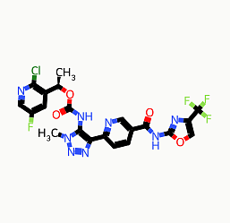 C[C@@H](OC(=O)Nc1c(-c2ccc(C(=O)Nc3nc(C(F)(F)F)co3)cn2)nnn1C)c1cc(F)cnc1Cl